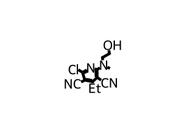 CCc1c(C#N)c(Cl)nc(N(C)CCO)c1C#N